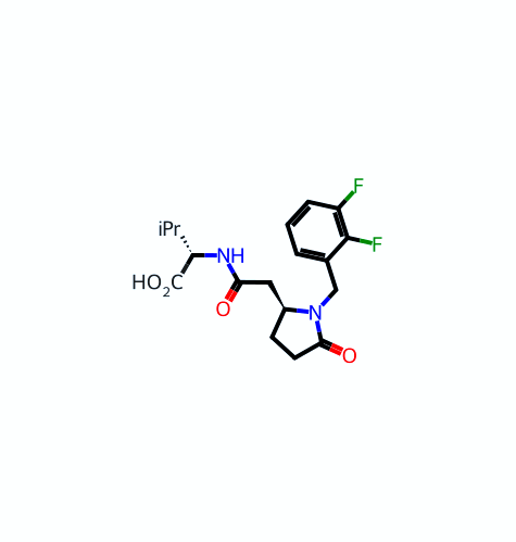 CC(C)[C@H](NC(=O)C[C@@H]1CCC(=O)N1Cc1cccc(F)c1F)C(=O)O